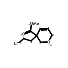 COC(=O)C1(CCC#N)C=CCOC1